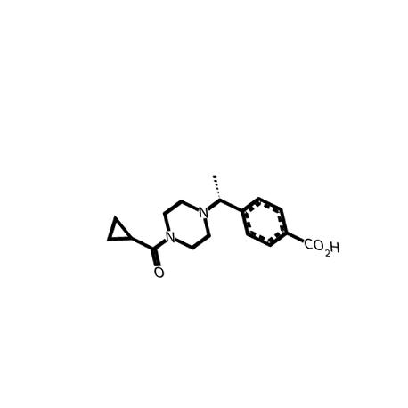 C[C@H](c1ccc(C(=O)O)cc1)N1CCN(C(=O)C2CC2)CC1